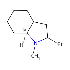 CCC1CC2CCCC[C@@H]2N1C